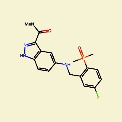 CNC(=O)c1n[nH]c2ccc(NCc3cc(F)ccc3P(C)(C)=O)cc12